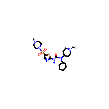 CC(=O)N1CCC(N(C(=O)Nc2ncc(S(=O)(=O)N3CCN(C)CC3)s2)C2CCCCC2)CC1